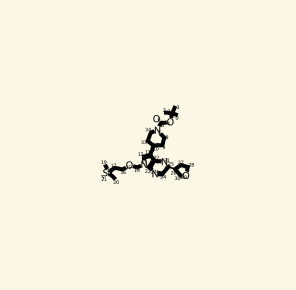 CC(C)(C)OC(=O)N1CCC(c2cn(COCC[Si](C)(C)C)c3ncc([C@H]4CCOC4)nc23)CC1